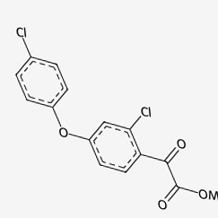 COC(=O)C(=O)c1ccc(Oc2ccc(Cl)cc2)cc1Cl